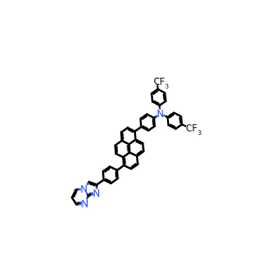 FC(F)(F)c1ccc(N(c2ccc(-c3ccc4ccc5c(-c6ccc(-c7cn8cccnc8n7)cc6)ccc6ccc3c4c65)cc2)c2ccc(C(F)(F)F)cc2)cc1